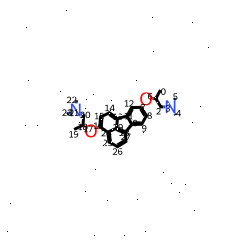 CC(CN(C)C)Oc1ccc2c(c1)-c1ccc(OC(C)CN(C)C)c3cccc-2c13